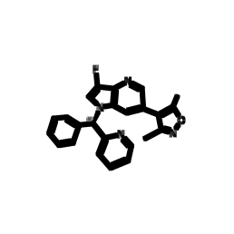 Cc1noc(C)c1-c1cnc2c(F)cn([C@H](c3ccccc3)c3ccccn3)c2c1